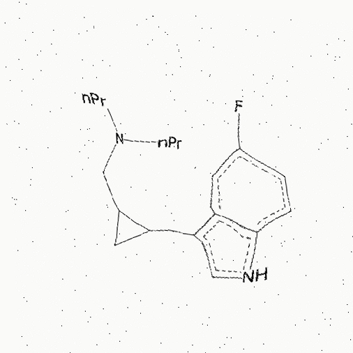 CCCN(CCC)CC1CC1c1c[nH]c2ccc(F)cc12